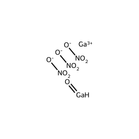 O=[N+]([O-])[O-].O=[N+]([O-])[O-].O=[N+]([O-])[O-].[Ga+3].[O]=[GaH]